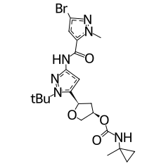 Cn1nc(Br)cc1C(=O)Nc1cc([C@H]2C[C@@H](OC(=O)NC3(C)CC3)CO2)n(C(C)(C)C)n1